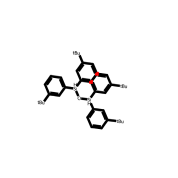 CC(C)(C)c1cccc([SiH](O[SiH](c2cccc(C(C)(C)C)c2)c2cccc(C(C)(C)C)c2)c2cccc(C(C)(C)C)c2)c1